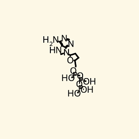 Nc1ncnc2c1NCN2C1CCC(COP(O)OP(O)OP(O)O)O1